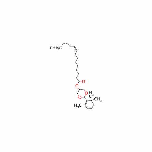 CCCCCCC/C=C\C/C=C\CCCCCCCC(=O)OC1COC(C2=C(C)C=CCC2(C)C)OC1